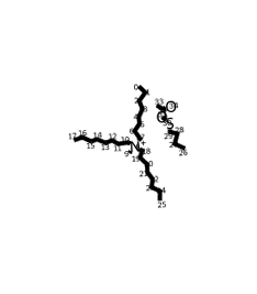 CCCCCCCC[N+](C)(CCCCCCCC)CCCCCCCC.CCCCSOC(C)=O